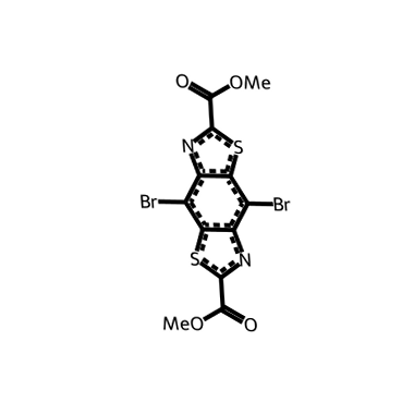 COC(=O)c1nc2c(Br)c3sc(C(=O)OC)nc3c(Br)c2s1